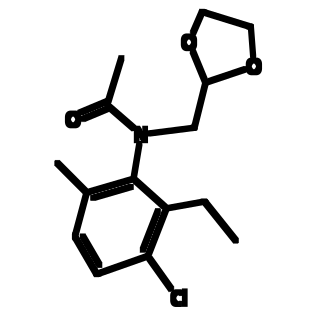 CCc1c(Cl)ccc(C)c1N(CC1OCCO1)C(C)=O